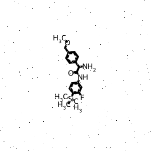 COCc1ccc(C(N)C(=O)Nc2ccc([Si](C)(C)C)c(F)c2)cc1